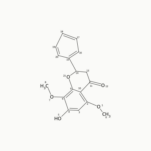 COc1cc(O)c(OC)c2c1C(=O)CC(c1ccccc1)O2